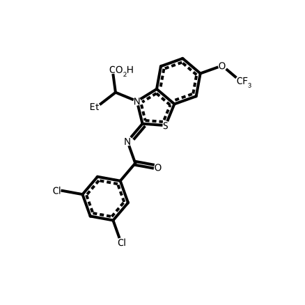 CCC(C(=O)O)n1/c(=N/C(=O)c2cc(Cl)cc(Cl)c2)sc2cc(OC(F)(F)F)ccc21